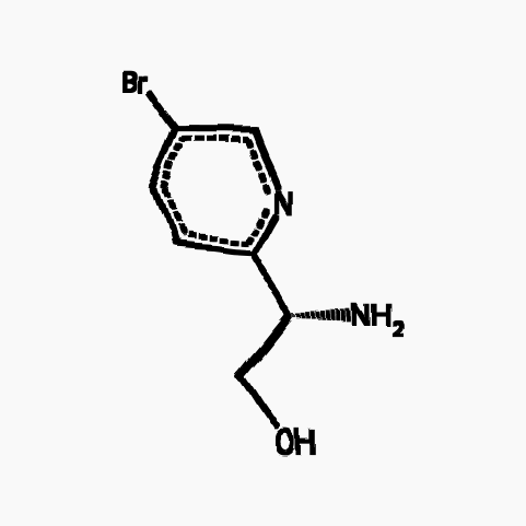 N[C@H](CO)c1ccc(Br)cn1